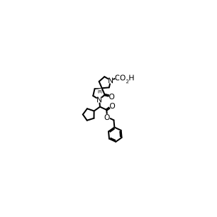 O=C(OCc1ccccc1)C(C1CCCC1)N1CC[C@]2(CCN(C(=O)O)C2)C1=O